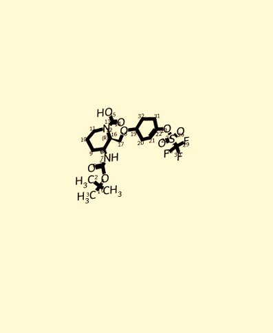 CC(C)(C)OC(=O)N[C@H]1CCCN(C(=O)O)[C@H]1COC1CC=C(OS(=O)(=O)C(F)(F)F)CC1